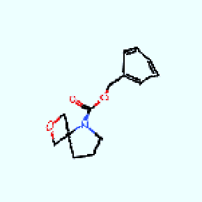 O=C(OCc1ccccc1)N1CCCC12COC2